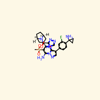 CS(=O)(=O)c1c([C@H]2C[C@H]3CC[C@@H](C2)N3C(=O)c2nnc[nH]2)nc2c(-c3ccc(C4(N)CC4)c(F)c3)cnn2c1N